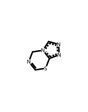 C1=NCn2cnnc2S1